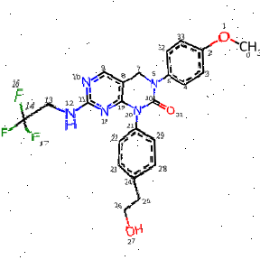 COc1ccc(N2Cc3cnc(NCC(F)(F)F)nc3N(c3ccc(CCO)cc3)C2=O)cc1